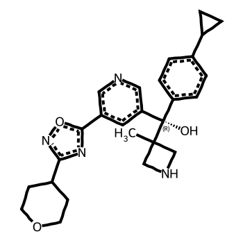 CC1([C@](O)(c2ccc(C3CC3)cc2)c2cncc(-c3nc(C4CCOCC4)no3)c2)CNC1